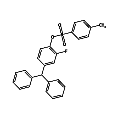 Cc1ccc(S(=O)(=O)Oc2ccc(C(c3ccccc3)c3ccccc3)cc2F)cc1